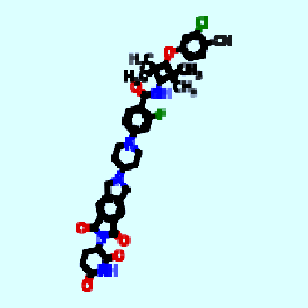 CC1(C)[C@H](NC(=O)c2ccc(N3CCC(N4Cc5cc6c(cc5C4)C(=O)N(C4CCC(=O)NC4=O)C6=O)CC3)cc2F)C(C)(C)[C@H]1Oc1ccc(C#N)c(Cl)c1